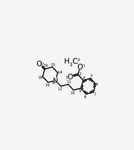 COC(=O)c1ccccc1CCCN1CCC(=O)CC1